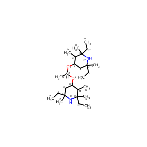 CCC1(C)CC(O[SiH](C)OC2CC(C)(CC)NC(C)(CC)C2C)C(C)C(C)(CC)N1